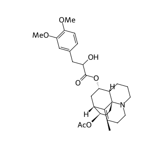 COc1ccc(CC(O)C(=O)O[C@H]2C[C@@H]3C4=CCCN5CCC[C@@H]2[C@@]45C[C@@H](C)[C@H]3OC(C)=O)cc1OC